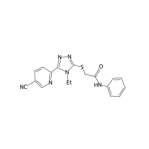 CCn1c(SCC(=O)Nc2ccccc2)nnc1-c1ccc(C#N)cn1